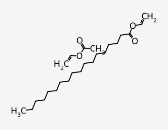 C=COC(=O)CCCCCCCCCCCCCCCCC.C=COC(C)=O